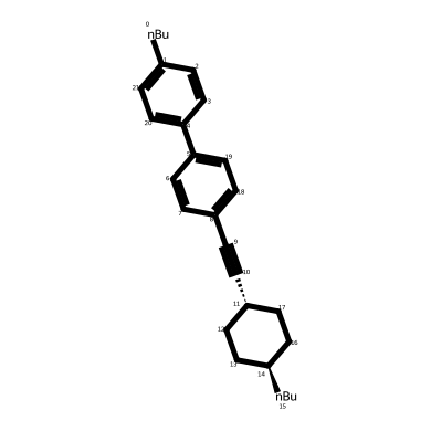 CCCCc1ccc(-c2ccc(C#C[C@H]3CC[C@H](CCCC)CC3)cc2)cc1